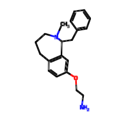 CN1CCCc2ccc(OCCN)cc2C1Cc1ccccc1